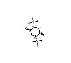 C[Si](C)(C)N1CC(=O)N([Si](C)(C)C)CC1=O